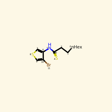 CCCCCCCCC(=S)Nc1cscc1Br